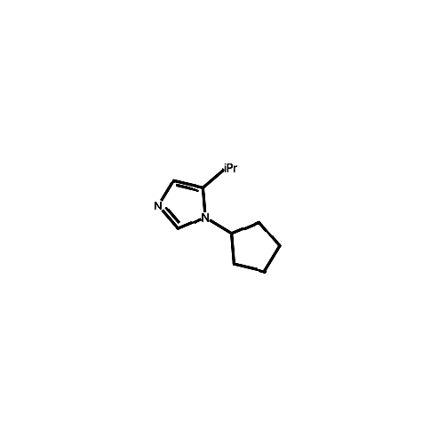 CC(C)c1cncn1C1CCCC1